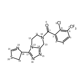 O=C(c1cccc(C(F)(F)F)c1Cl)N1CCn2c(nnc2C2CSC=N2)C1